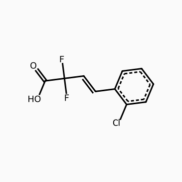 O=C(O)C(F)(F)/C=C/c1ccccc1Cl